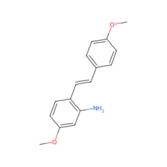 COc1ccc(C=Cc2ccc(OC)cc2N)cc1